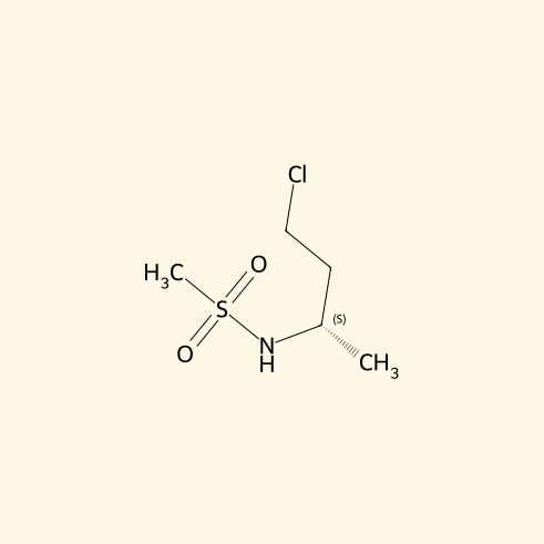 C[C@@H](CCCl)NS(C)(=O)=O